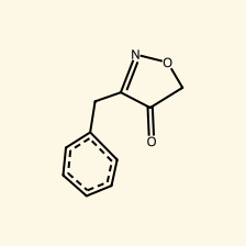 O=C1CON=C1Cc1ccccc1